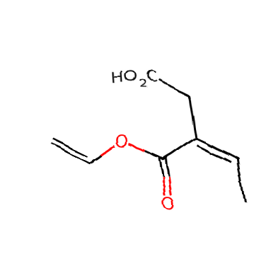 C=COC(=O)C(=CC)CC(=O)O